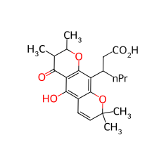 CCCC(CC(=O)O)c1c2c(c(O)c3c1OC(C)C(C)C3=O)C=CC(C)(C)O2